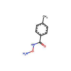 Cc1ccc(C(=O)NON)cc1